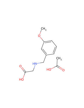 CC(=O)O.COc1cccc(CNCC(=O)O)c1